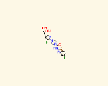 O=C(Nc1nc2cc(F)ccc2s1)N1CCN(c2ncc(C[C@@H](O)CO)cc2F)CC1